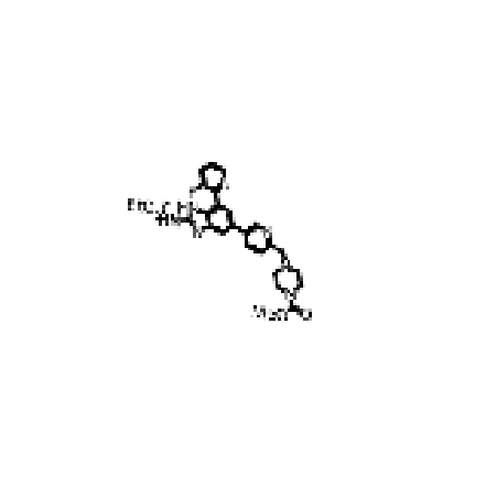 CCOC(=O)Nc1nc2cc(-c3ccc(CN4CCN(C(=O)OC)CC4)nc3)cc(-c3ncccc3F)c2[nH]1